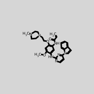 C=CC(=O)Nc1cc(Nc2nccc(-n3ccc4ccccc43)n2)c(OC)cc1OCCN1CCN(C)CC1